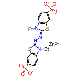 CCn1c(=NN=c2sc3cc(S(=O)(=O)[O-])ccc3n2CC)sc2cc(S(=O)(=O)[O-])ccc21.[Zn+2]